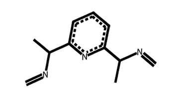 C=NC(C)c1cccc(C(C)N=C)n1